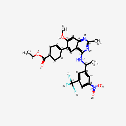 CCOC(=O)C1CC=C(c2cc3c(NC(C)c4cc([N+](=O)[O-])cc(C(F)(F)F)c4)nc(C)nc3cc2OC)CC1